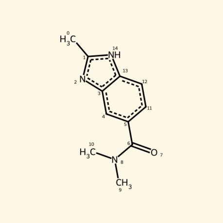 Cc1nc2cc(C(=O)N(C)C)ccc2[nH]1